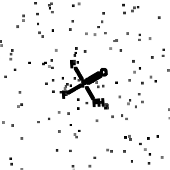 O=P(F)(F)P